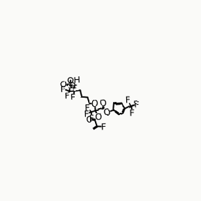 C=C(F)C(=O)OC(OCCCCC(F)(F)C(F)(F)S(=O)(=O)O)(C(=O)Oc1ccc(C(F)(F)F)cc1)C(F)(F)F